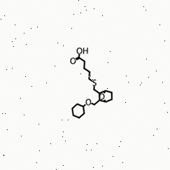 O=C(O)CCCCSCC1C2CCC(O2)C1COC1CCCCC1